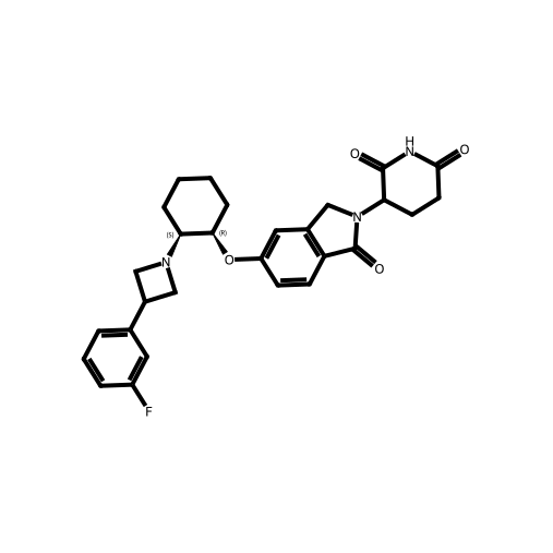 O=C1CCC(N2Cc3cc(O[C@@H]4CCCC[C@@H]4N4CC(c5cccc(F)c5)C4)ccc3C2=O)C(=O)N1